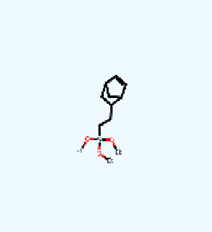 CCO[Si](CCC1CC2C=CC1C2)(OCC)OCC